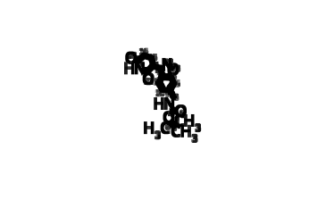 CC(C)(C)OC(=O)NCc1ccc2c(C3CCC(=O)NC3=O)noc2c1